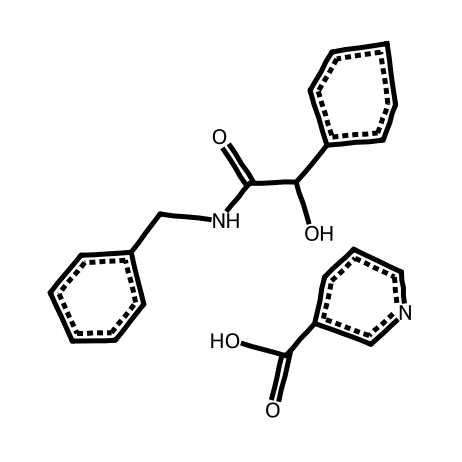 O=C(NCc1ccccc1)C(O)c1ccccc1.O=C(O)c1cccnc1